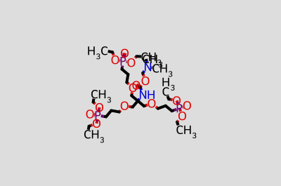 CCOP(=O)(CCCOCC(COCCCP(=O)(OCC)OCC)(COCCCP(=O)(OCC)OCC)NC(=O)OCN(C)C)OCC